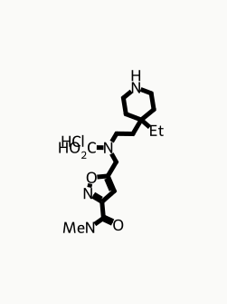 CCC1(CCN(Cc2cc(C(=O)NC)no2)C(=O)O)CCNCC1.Cl